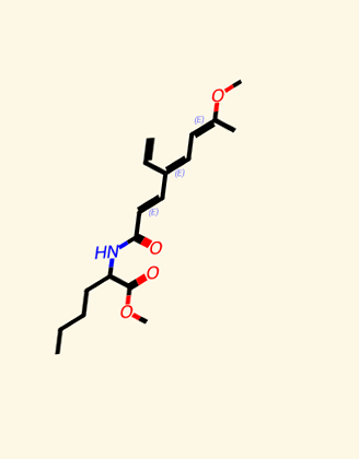 C=CC(/C=C/C(=O)NC(CCCC)C(=O)OC)=C\C=C(/C)OC